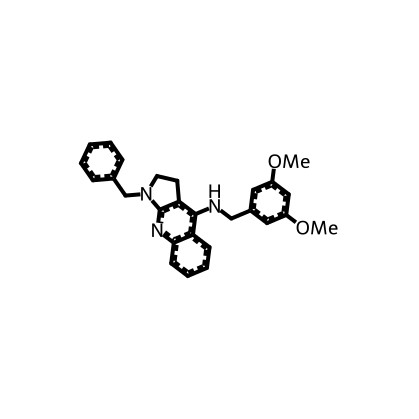 COc1cc(CNc2c3c(nc4ccccc24)N(Cc2ccccc2)CC3)cc(OC)c1